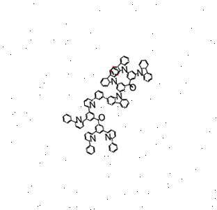 O=C(c1cc(-c2cccc(-c3ccccc3)n2)cc(-c2cccc(-c3ccccc3)n2)c1)c1cc(-c2cccc(-c3ccccc3)n2)cc(-c2cccc(-c3cccc(-c4ccc5c6ccccc6n(-c6cc(C(=O)c7cc(N8c9ccccc9C9C=CC=CC98)cc(-n8c9ccccc9c9ccccc98)c7)cc(N7c8ccccc8C8C=CC=CC87)c6)c5c4)c3)n2)c1